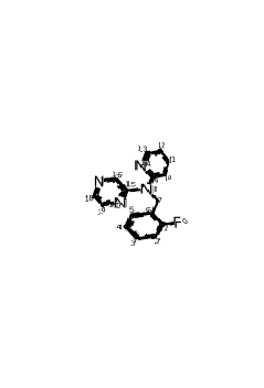 Fc1ccccc1CN(c1ccccn1)c1cnccn1